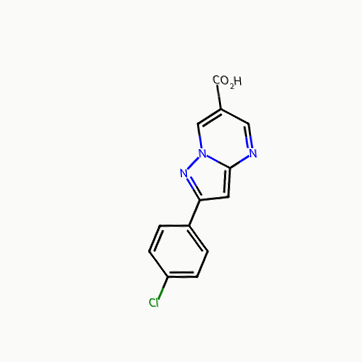 O=C(O)c1cnc2cc(-c3ccc(Cl)cc3)nn2c1